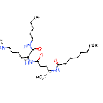 CCCCCCCCCCCCCCCC(=O)N[C@@H](CCC(=O)N[C@@H](CCCCNCC)C(=O)NCCCCC(C)C)C(=O)O